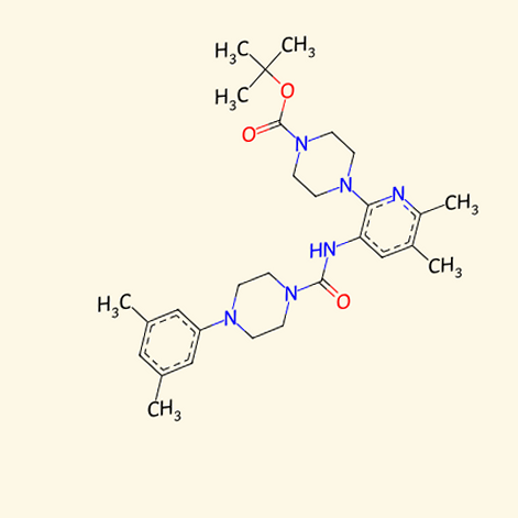 Cc1cc(C)cc(N2CCN(C(=O)Nc3cc(C)c(C)nc3N3CCN(C(=O)OC(C)(C)C)CC3)CC2)c1